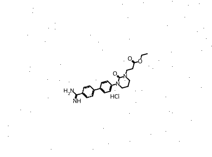 CCOC(=O)CCN1CCCN(c2ccc(-c3ccc(C(=N)N)cc3)cc2)C1=O.Cl